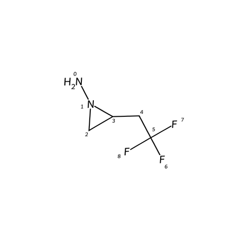 NN1CC1CC(F)(F)F